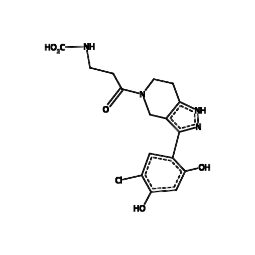 O=C(O)NCCC(=O)N1CCc2[nH]nc(-c3cc(Cl)c(O)cc3O)c2C1